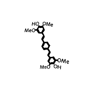 COc1cc(C=Cc2ccc(C=Cc3cc(OC)c(O)c(OC)c3)cc2)cc(OC)c1O